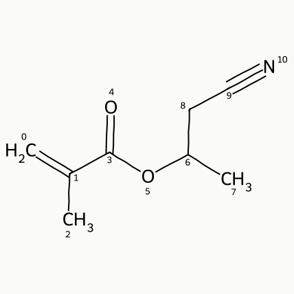 C=C(C)C(=O)OC(C)CC#N